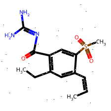 C/C=C\c1cc(CC)c(C(=O)N=C(N)N)cc1S(C)(=O)=O